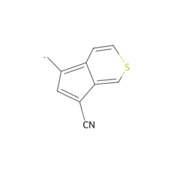 [CH2]c1cc(C#N)c2csccc1-2